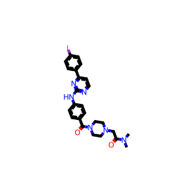 CN(C)C(=O)CN1CCN(C(=O)c2ccc(Nc3nccc(-c4ccc(I)cc4)n3)cc2)CC1